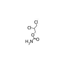 NC(=O)OCC(Cl)CCl